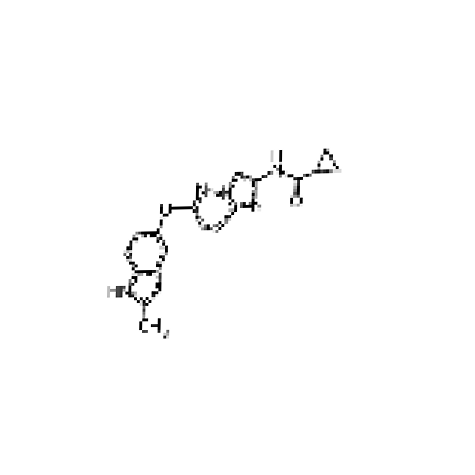 Cc1cc2cc(Oc3ccc4nc(NC(=O)C5CC5)cn4n3)ccc2[nH]1